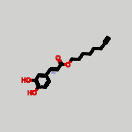 C#CCCCCCCOC(=O)/C=C/c1ccc(O)c(O)c1